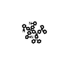 N#Cc1ccccc1-c1ccc([Si](c2ccc(-c3ccccc3C#N)cc2)(c2ccc(-c3ccccc3C#N)cc2)c2ccc(N(c3ccc(N(c4ccccc4)c4ccccc4)cc3)c3ccc(N(c4ccccc4)c4ccccc4)cc3)cc2)cc1